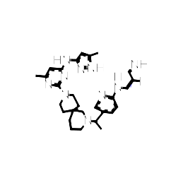 Cc1cc(Nc2cc(C)[nH]n2)nc(N2CCC3(CCCN(C(C)c4ccc(N/C=C(/F)C=N)nc4)C3)CC2)n1